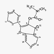 CN(C)C(=O)Oc1c(-c2ccccc2)oc2ccccc2c1=O